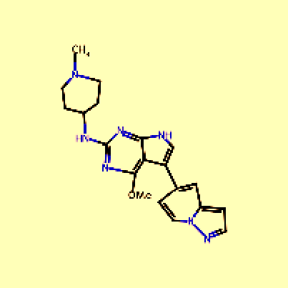 COc1nc(NC2CCN(C)CC2)nc2[nH]cc(-c3ccn4nccc4c3)c12